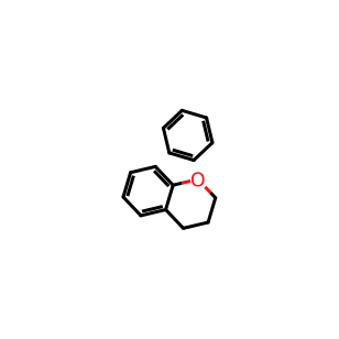 c1ccc2c(c1)CCCO2.c1ccccc1